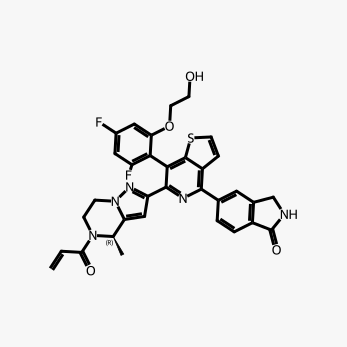 C=CC(=O)N1CCn2nc(-c3nc(-c4ccc5c(c4)CNC5=O)c4ccsc4c3-c3c(F)cc(F)cc3OCCO)cc2[C@H]1C